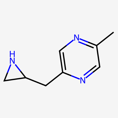 Cc1cnc(CC2CN2)cn1